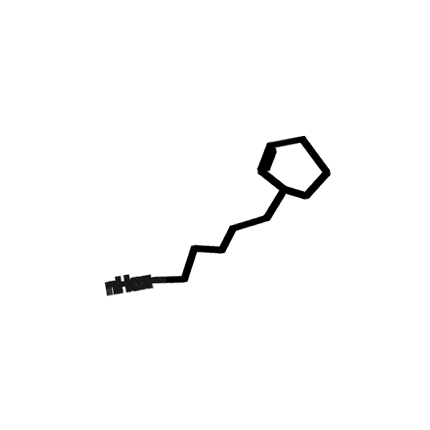 CCCCCCCCCCCC1C=CCCC1